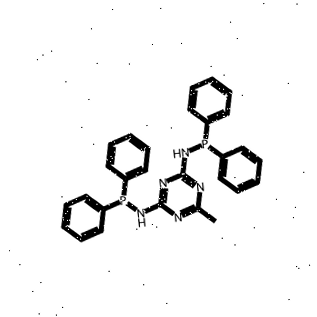 Cc1nc(NP(c2ccccc2)c2ccccc2)nc(NP(c2ccccc2)c2ccccc2)n1